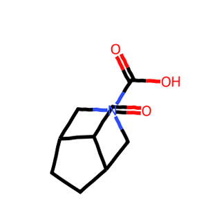 O=CC1C2CCC1CN(C(=O)O)C2